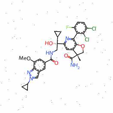 COc1cc(C(=O)NC[C@](O)(c2cc3c(c(-c4c(F)ccc(Cl)c4Cl)n2)OC[C@]3(C)C(N)=O)C2CC2)cc2cn(C3CC3)nc12